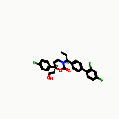 CC[C@@H](c1ccc(-c2ccc(F)cc2F)cc1)N1CC[C@](CCO)(c2ccc(F)cc2)OC1=O